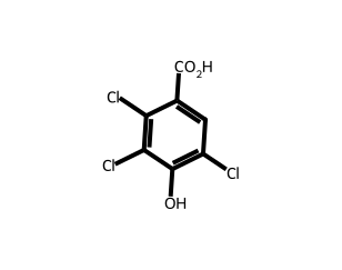 O=C(O)c1cc(Cl)c(O)c(Cl)c1Cl